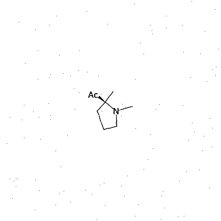 CC(=O)[C@]1(C)CCCN1C